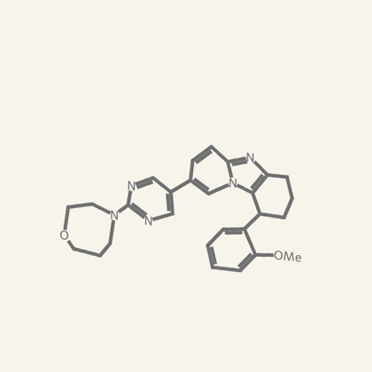 COc1ccccc1C1CCCc2nc3ccc(-c4cnc(N5CCCOCC5)nc4)cn3c21